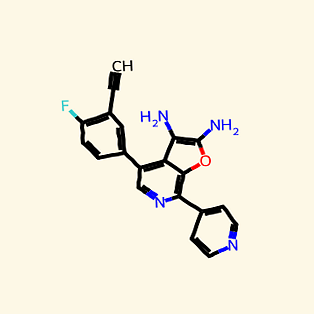 C#Cc1cc(-c2cnc(-c3ccncc3)c3oc(N)c(N)c23)ccc1F